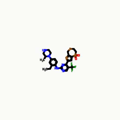 CCc1cc(N2CCNCC2C)ccc1Nc1ncc(C(F)(F)F)c(-c2cc3c(s2)CSCCS3(=O)=O)n1